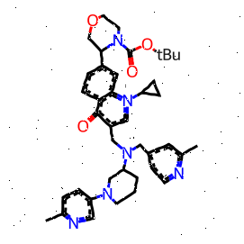 Cc1ccc(N2CCCC(N(Cc3ccnc(C)c3)Cc3cn(C4CC4)c4cc(C5COCCN5C(=O)OC(C)(C)C)ccc4c3=O)C2)cn1